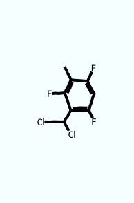 Cc1c(F)cc(F)c(C(Cl)Cl)c1F